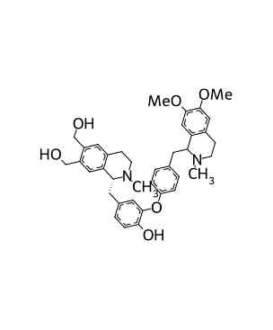 COc1cc2c(cc1OC)C(Cc1ccc(Oc3cc(C[C@@H]4c5cc(CO)c(CO)cc5CCN4C)ccc3O)cc1)N(C)CC2